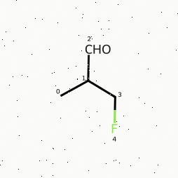 CC(C=O)CF